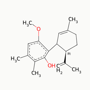 C=C(C)[C@@H]1CCC(C)=CC1c1c(OC)cc(C)c(C)c1O